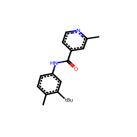 Cc1cc(C(=O)Nc2ccc(C)c(C(C)(C)C)c2)ccn1